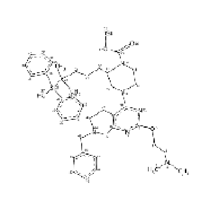 CN(C)CCOc1nc2c(c(N3CCN(C(=O)OC(C)(C)C)C(CCCC(C)(C)[Si](O)(c4ccccc4)c4ccccc4)C3)n1)CCN(Cc1ccccc1)C2